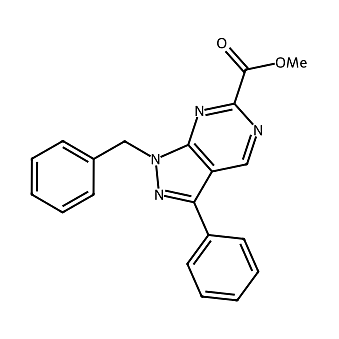 COC(=O)c1ncc2c(-c3ccccc3)nn(Cc3ccccc3)c2n1